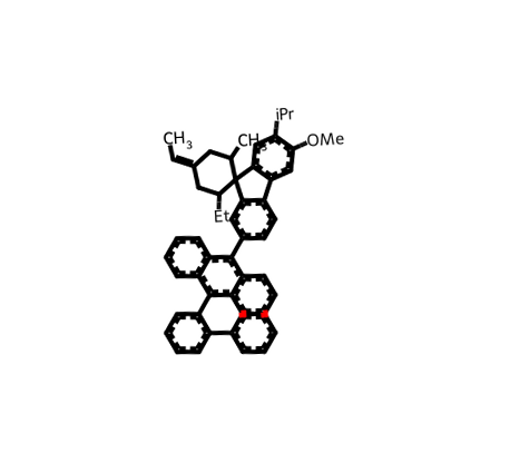 CC=C1CC(C)C2(c3cc(-c4c5ccccc5c(-c5ccccc5-c5ccccc5)c5ccccc45)ccc3-c3cc(OC)c(C(C)C)cc32)C(CC)C1